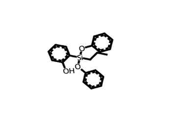 CCC[Si](Oc1ccccc1)(Oc1ccccc1)c1ccccc1O